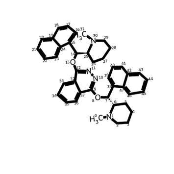 CN1CCCC[C@H]1C(Oc1nnc(OC(c2cccc3ccccc23)[C@@H]2CCCCN2C)c2ccccc12)c1cccc2ccccc12